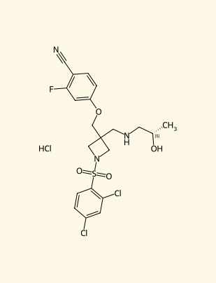 C[C@H](O)CNCC1(COc2ccc(C#N)c(F)c2)CN(S(=O)(=O)c2ccc(Cl)cc2Cl)C1.Cl